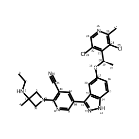 CCNC1(C)CN(c2ncc(-c3n[nH]c4ccc(O[C@H](C)c5c(Cl)cnc(C)c5Cl)cc34)cc2C#N)C1